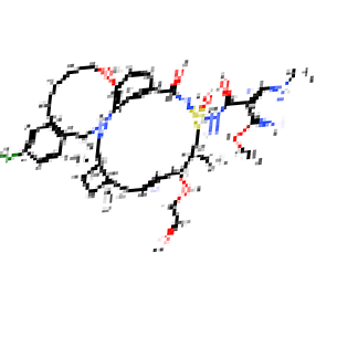 CN/C=C(\C(=N)OC)C(=O)NS1(=O)=NC(=O)c2ccc3c(c2)N(Cc2ccc(Cl)cc2CCCCO3)C[C@@H]2CC[C@H]2C/C=C/[C@H](OCC=O)[C@H](C)C1